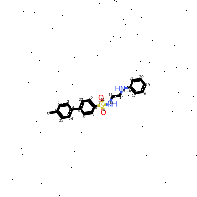 Cc1ccc(-c2ccc(S(=O)(=O)NCCNc3ccccc3)cc2)cc1